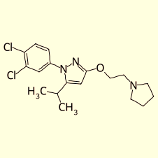 CC(C)c1cc(OCCN2CCCC2)nn1-c1ccc(Cl)c(Cl)c1